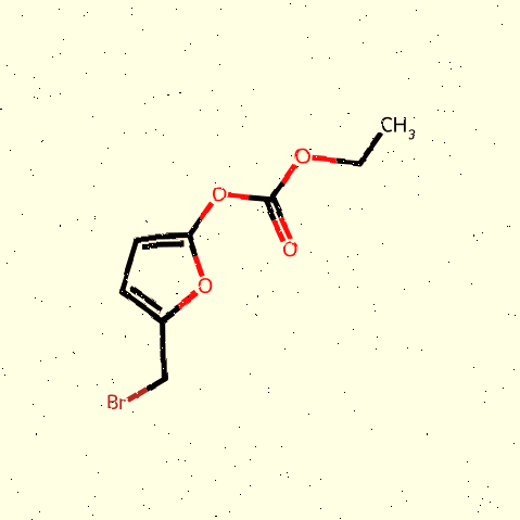 CCOC(=O)Oc1ccc(CBr)o1